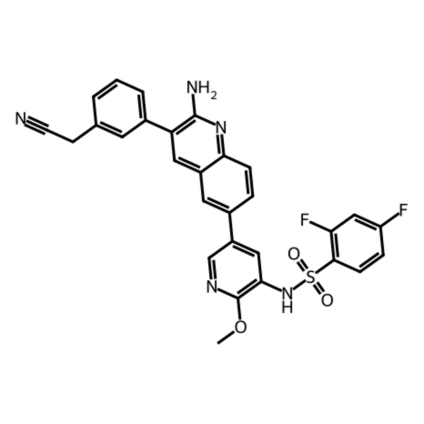 COc1ncc(-c2ccc3nc(N)c(-c4cccc(CC#N)c4)cc3c2)cc1NS(=O)(=O)c1ccc(F)cc1F